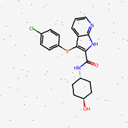 O=C(N[C@H]1CC[C@H](O)CC1)c1[nH]c2ncccc2c1Sc1ccc(Cl)cc1